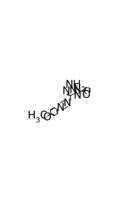 COc1ccc(N2CCN(Cc3cnc(N)n4nc(-c5ccco5)nc34)CC2)cc1